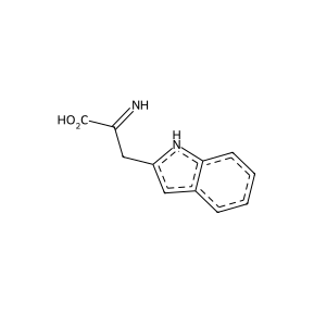 N=C(Cc1cc2ccccc2[nH]1)C(=O)O